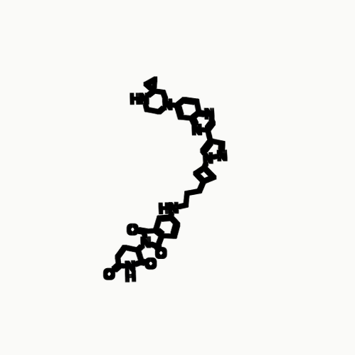 O=C1CCC(N2C(=O)c3ccc(NCCCC4CC(n5cc(-c6cnc7ccc(N8CCNC9(CC9)C8)cc7n6)cn5)C4)cc3C2=O)C(=O)N1